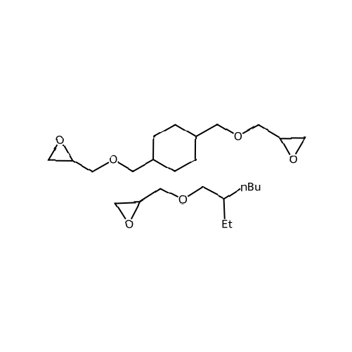 C1CC(COCC2CO2)CCC1COCC1CO1.CCCCC(CC)COCC1CO1